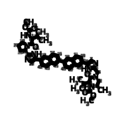 CCCN(Cc1ncc(-c2ccc3cc(-c4ccc5cc(-c6cnc([C@@H]7CCCN7C(=O)[C@@H](NC(=O)OC)C(C)C)[nH]6)ccc5c4)ccc3c2)[nH]1)C(=O)[C@@H](NC(=O)OC)C(C)C